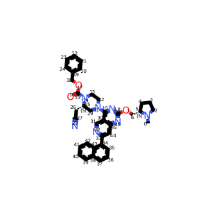 CN1CCC[C@H]1COc1nc(N2CCN(C(=O)OCc3ccccc3)[C@@H](CC#N)C2)c2cnc(-c3cccc4ccccc34)cc2n1